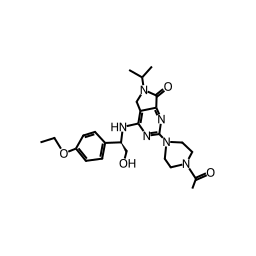 CCOc1ccc([C@H](CO)Nc2nc(N3CCN(C(C)=O)CC3)nc3c2CN(C(C)C)C3=O)cc1